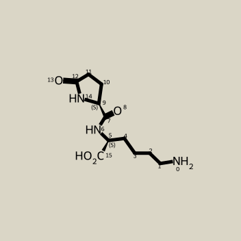 NCCCC[C@H](NC(=O)[C@@H]1CCC(=O)N1)C(=O)O